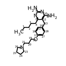 CCCCCc1nc(N)nc(N)c1Cc1ccc(OCCCN2CCCC2)cc1